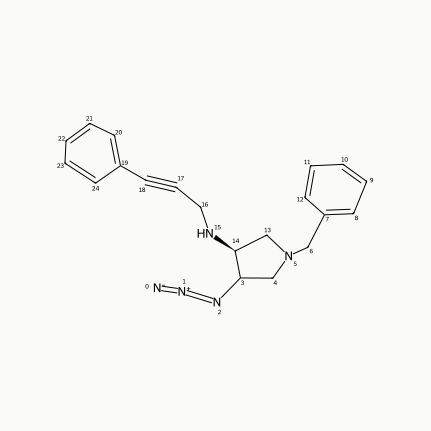 [N-]=[N+]=NC1CN(Cc2ccccc2)C[C@@H]1NCC#Cc1ccccc1